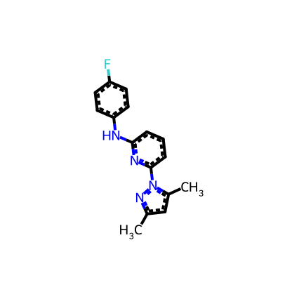 Cc1cc(C)n(-c2cccc(Nc3ccc(F)cc3)n2)n1